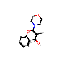 CC(=O)c1c(N2CCOCC2)oc2ccccc2c1=O